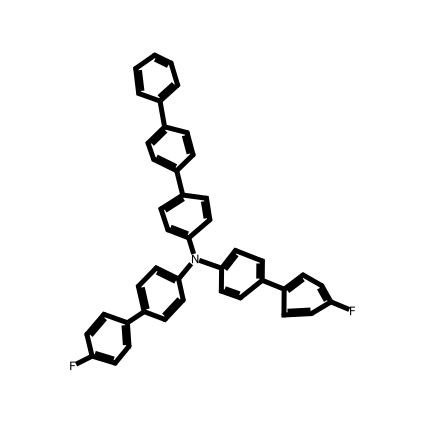 Fc1ccc(-c2ccc(N(c3ccc(-c4ccc(F)cc4)cc3)c3ccc(-c4ccc(-c5ccccc5)cc4)cc3)cc2)cc1